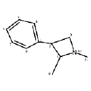 CC1C(c2ccccc2)CN1C